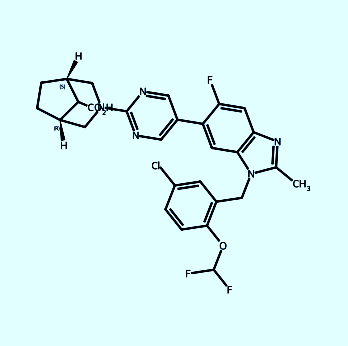 Cc1nc2cc(F)c(-c3cnc(N4C[C@H]5CC[C@@H](C4)C5C(=O)O)nc3)cc2n1Cc1cc(Cl)ccc1OC(F)F